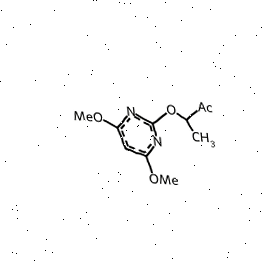 COc1cc(OC)nc(OC(C)C(C)=O)n1